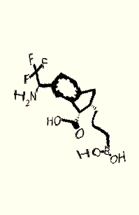 N[C@H](c1ccc2c(c1)[C@@H](C(=O)O)[C@@H](CCCB(O)O)C2)C(F)(F)F